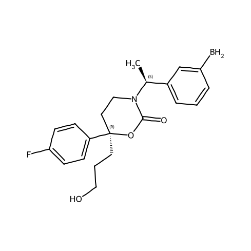 Bc1cccc([C@H](C)N2CC[C@](CCCO)(c3ccc(F)cc3)OC2=O)c1